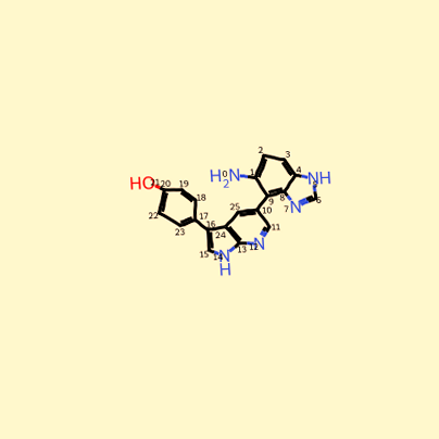 Nc1ccc2[nH]cnc2c1-c1cnc2[nH]cc(-c3ccc(O)cc3)c2c1